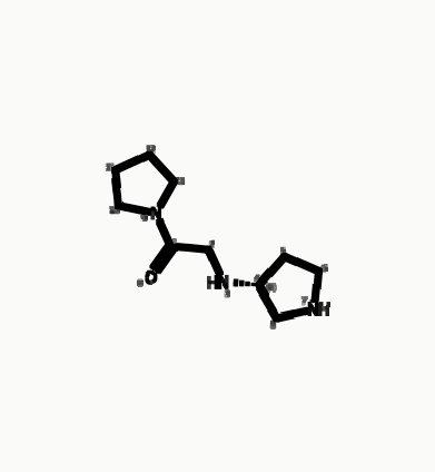 O=C(CN[C@@H]1CCNC1)N1CCCC1